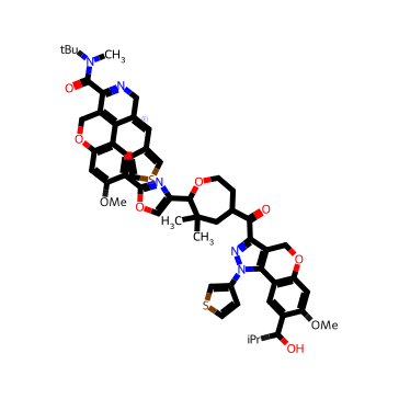 COc1cc2c(cc1-c1nc(C3OCCC(C(=O)c4nn(-c5ccsc5)c5c4COc4cc(OC)c(C(O)C(C)C)cc4-5)CC3(C)C)co1)C1=C(CO2)C(C(=O)N(C)C(C)(C)C)=NC/C1=C/c1ccsc1